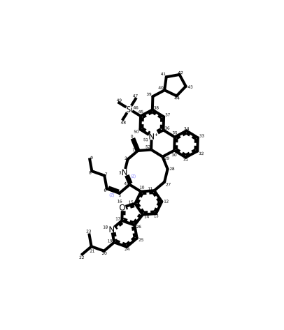 C=C1C/N=C(/C=C\CCC)c2c(ccc3c2oc2nc(CC(C)C)ccc23)CCC2c3ccccc3-c3cc(CC4CCCC4)c([Si](C)(C)C)c[n+]3C12